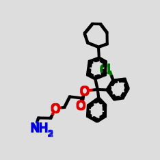 NCCOCCC(=O)OC(c1ccccc1)(c1ccc(C2CCCCCC2)cc1)c1ccccc1Cl